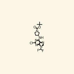 CC(C)(C)OC(=O)N1CC[C@H](Nc2nc(Cl)nc3c2ncn3C(F)F)C1